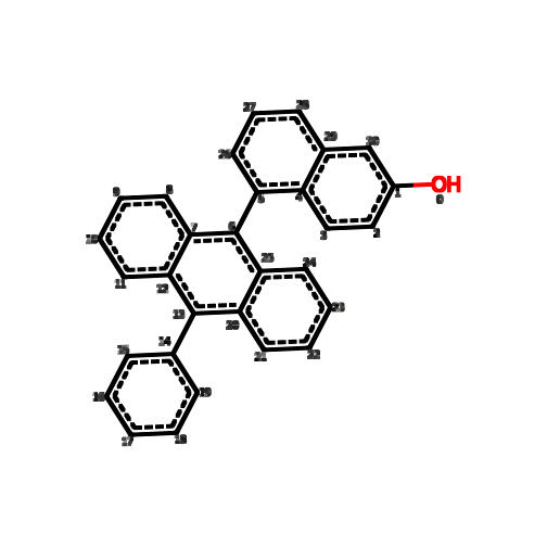 Oc1ccc2c(-c3c4ccccc4c(-c4ccccc4)c4ccccc34)cccc2c1